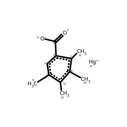 Cc1cc(C(=O)[O-])c(C)c(C)c1C.[Hg+]